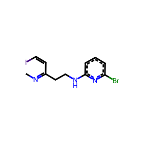 C/N=C(\C=C/I)CCNc1cccc(Br)n1